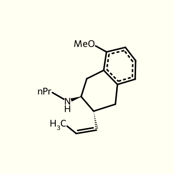 C/C=C\[C@H]1Cc2cccc(OC)c2C[C@@H]1NCCC